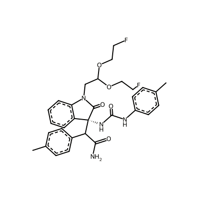 Cc1ccc(NC(=O)N[C@@]2(C(C(N)=O)c3ccc(C)cc3)C(=O)N(CC(OCCF)OCCF)c3ccccc32)cc1